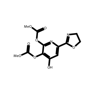 COC(=O)Oc1nc(C2=NCCO2)cc(O)c1OC(=O)OC